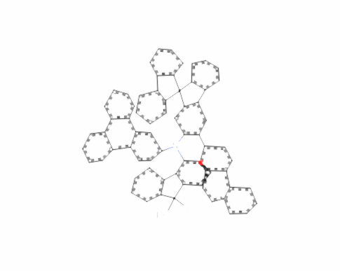 CC1(C)c2ccccc2-c2c(N(c3ccc4c5ccccc5c5ccccc5c4c3)c3cc4c(cc3-c3ccc5c(ccc6ccccc65)c3)-c3ccccc3C43c4ccccc4-c4ccccc43)cccc21